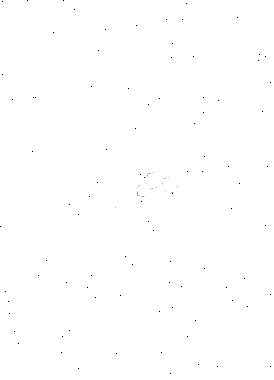 COc1cccc2c1nc(N)n1nc(C3CN(C4CCC(F)(F)CC4)CCO3)nc21